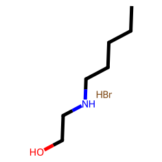 Br.CCCCCNCCO